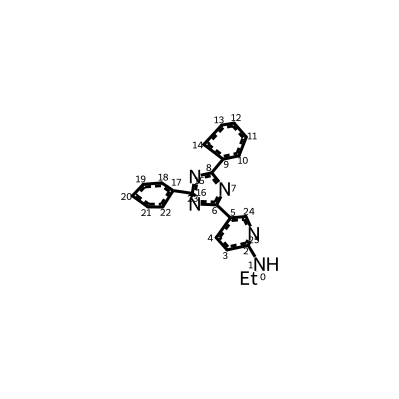 CCNc1ccc(-c2nc(-c3ccccc3)nc(-c3ccccc3)n2)cn1